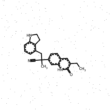 CCc1cc2ccc(C(C)(C#N)Cc3cccc4c3CCN4)cc2[nH]c1=O